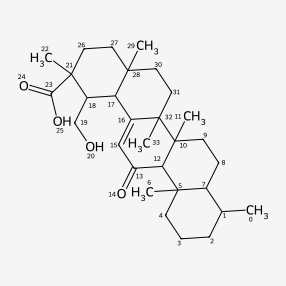 CC1CCCC2(C)C1CCC1(C)C2C(=O)C=C2C3C(CO)C(C)(C(=O)O)CCC3(C)CCC21C